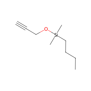 C#CCO[Si](C)(C)CCCC